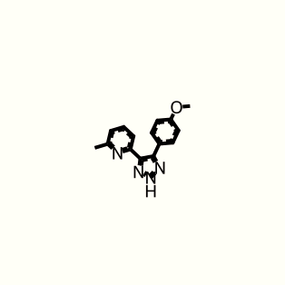 COc1ccc(-c2n[nH]nc2-c2cccc(C)n2)cc1